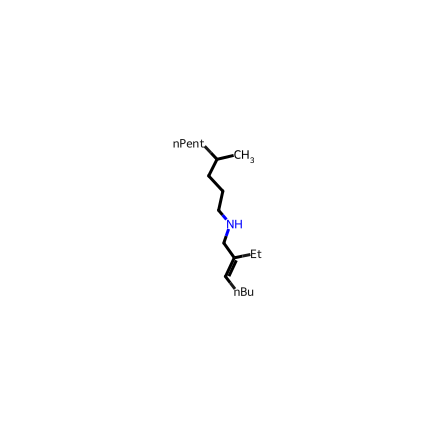 CCCC/C=C(\CC)CNCCCC(C)CCCCC